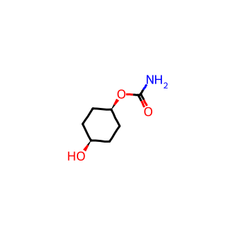 NC(=O)O[C@H]1CC[C@@H](O)CC1